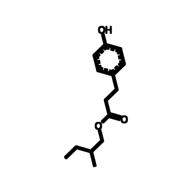 CCC(C)COC(=O)CCc1ccc(O)cc1